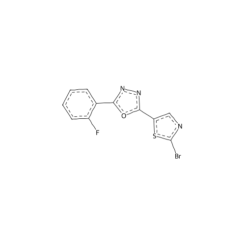 Fc1ccccc1-c1nnc(-c2cnc(Br)s2)o1